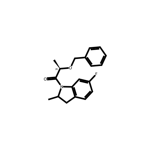 CC1Cc2ccc(F)cc2N1C(=O)[C@@H](C)OCc1ccccc1